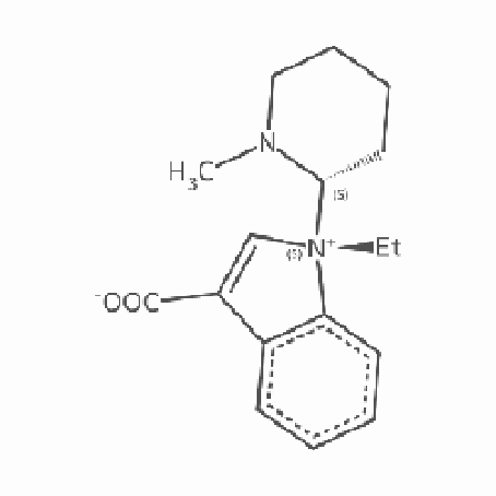 CC[N@+]1([C@H]2CCCCN2C)C=C(C(=O)[O-])c2ccccc21